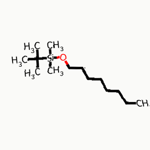 CCCCCC[CH]CO[Si](C)(C)C(C)(C)C